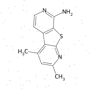 Cc1cc(C)c2c(n1)sc1c(N)nccc12